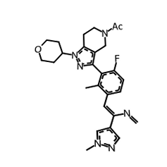 C=N/C(=C\c1ccc(F)c(-c2nn(C3CCOCC3)c3c2CN(C(C)=O)CC3)c1C)c1cnn(C)c1